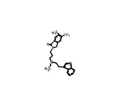 Cc1cc2c(cc1C)C(=O)N(CCCN(C)CCc1csc3ccccc13)C2